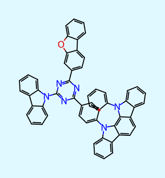 c1ccc(-n2c3ccccc3c3ccc4c5ccccc5n(-c5ccc(-c6nc(-c7ccc8c(c7)oc7ccccc78)nc(-n7c8ccccc8c8ccccc87)n6)cc5)c4c32)cc1